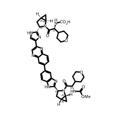 COC(=O)N[C@H](C(=O)N1[C@@H]2C[C@@H]2C[C@H]1c1nc2cc(-c3ccc4nc(-c5c[nH]c([C@@H]6C[C@H]7C[C@H]7N6C(=O)[C@@H](NC(=O)O)C6CCOCC6)n5)cnc4c3)ccc2[nH]1)C1CCOCC1